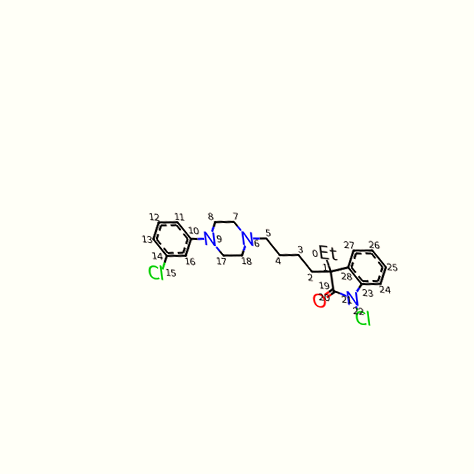 CCC1(CCCCN2CCN(c3cccc(Cl)c3)CC2)C(=O)N(Cl)c2ccccc21